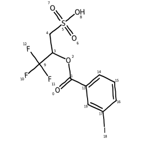 O=C(OC(CS(=O)(=O)O)C(F)(F)F)c1cccc(I)c1